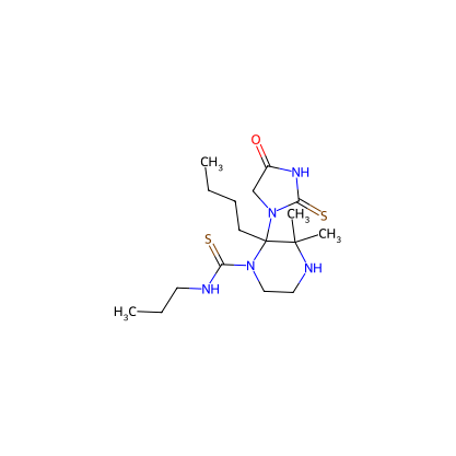 CCCCC1(N2CC(=O)NC2=S)N(C(=S)NCCC)CCNC1(C)C